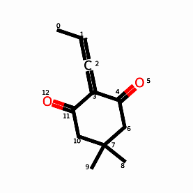 C[C]=C=C1C(=O)CC(C)(C)CC1=O